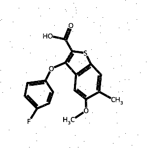 COc1cc2c(Oc3ccc(F)cc3)c(C(=O)O)sc2cc1C